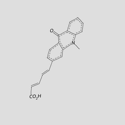 Cn1c2ccccc2c(=O)c2ccc(/C=C/C=C/C(=O)O)cc21